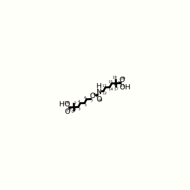 CC(C)(CCCCCOC(=O)NCCCCC(C)(C)C(=O)O)C(=O)O